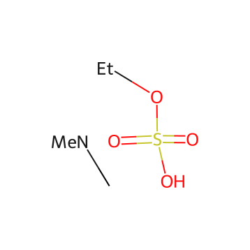 CCOS(=O)(=O)O.CNC